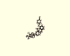 COc1c(CN2CCC(F)CC2)cccc1CN1CCN(C(=O)OC(C)C(F)(F)F)CC1